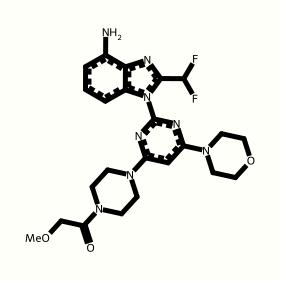 COCC(=O)N1CCN(c2cc(N3CCOCC3)nc(-n3c(C(F)F)nc4c(N)cccc43)n2)CC1